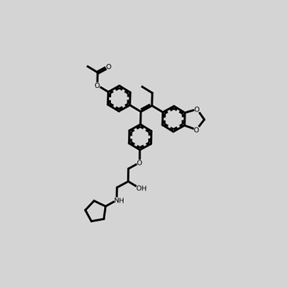 CC/C(=C(/c1ccc(OCC(O)CNC2CCCC2)cc1)c1ccc(OC(C)=O)cc1)c1ccc2c(c1)OCO2